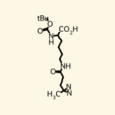 CC1(CCC(=O)NCCCCC(NC(=O)OC(C)(C)C)C(=O)O)N=N1